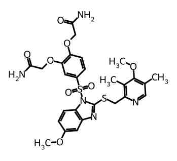 COc1ccc2c(c1)nc(SCc1ncc(C)c(OC)c1C)n2S(=O)(=O)c1ccc(OCC(N)=O)c(OCC(N)=O)c1